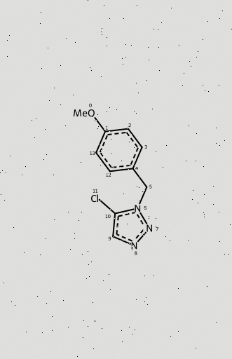 COc1ccc(Cn2nncc2Cl)cc1